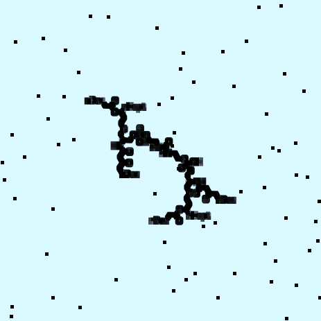 CCCCCCCCCCCC(=O)CC(=O)N[C@@H](COCC[C@@H](CCCCCCC)OC(=O)CCCCCCCCCCC)COP(=O)(O)OCCNC(=O)NCCOP(=O)(O)OC[C@H](COCC[C@@H](CCCCCCC)OC(=O)CCCCCCCCCCC)NC(=O)CC(=O)CCCCCCCCCCC